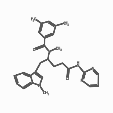 CN(C(=O)c1cc(C(F)(F)F)cc(C(F)(F)F)c1)C(CCC(=O)Nc1ncccn1)Cc1cn(C)c2ccccc12